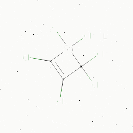 ClC1=[C](Cl)[Sn]([Cl])([Cl])[C]1(Cl)Cl.[Li]